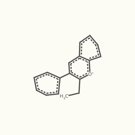 CCc1[o+]c2ccccc2cc1-c1ccccc1